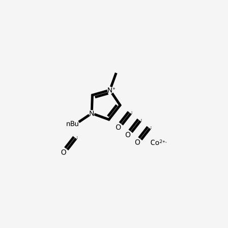 CCCCn1cc[n+](C)c1.[C]=O.[C]=O.[C]=O.[C]=O.[Co+2]